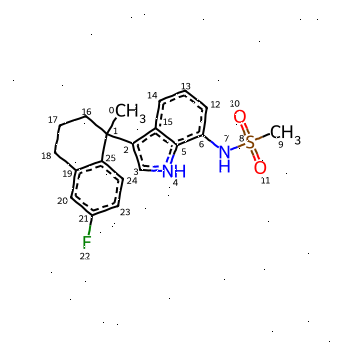 CC1(c2c[nH]c3c(NS(C)(=O)=O)cccc23)CCCc2cc(F)ccc21